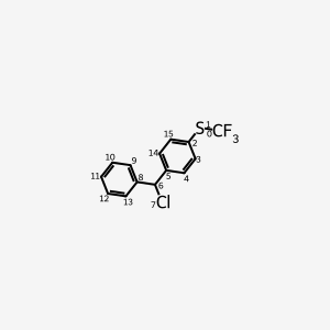 FC(F)(F)Sc1ccc(C(Cl)c2ccccc2)cc1